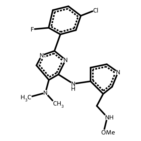 CONCc1cnccc1Nc1nc(-c2cc(Cl)ccc2F)ncc1N(C)C